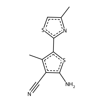 Cc1csc(-c2sc(N)c(C#N)c2C)n1